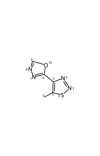 Cc1snnc1-c1nnco1